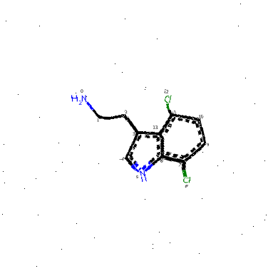 NCCc1c[nH]c2c(Cl)ccc(Cl)c12